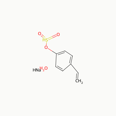 C=Cc1ccc(O[SH](=O)=O)cc1.O.[NaH]